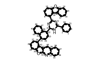 c1ccc(C2=NC(c3cccc4oc5ccccc5c34)=NC(c3ccc(-c4cccc5oc6nc7ccccc7cc6c45)c4ccccc34)N2)cc1